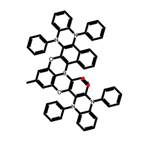 Cc1cc2c3c(c1)Oc1c4c(c5ccccc5c1B3c1c(c3c(c5ccccc15)N(c1ccccc1)c1ccccc1N3c1ccccc1)O2)N(c1ccccc1)c1ccccc1N4c1ccccc1